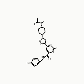 CC(=O)N(C)[C@H]1CC[C@H](C2CC(c3cc(C(=O)NCc4ccc(F)cc4)nc(C)n3)=NO2)CC1